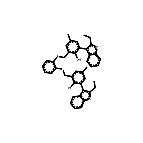 CCc1oc2ccccc2c1-c1cc(C)cc(CSc2ccccc2SCc2cc(C)cc(-c3c(CC)oc4ccccc34)c2O)c1O